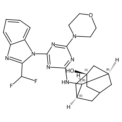 O[C@]12CC3C[C@H](C1)[C@H](Nc1nc(N4CCOCC4)nc(-n4c(C(F)F)nc5ccccc54)n1)[C@@H](C3)C2